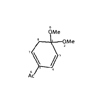 COC1(OC)C=CC(C(C)=O)=CC1